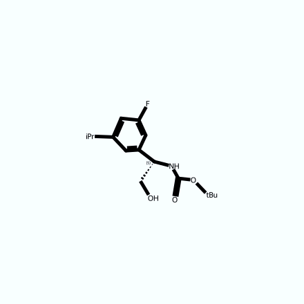 CC(C)c1cc(F)cc([C@@H](CO)NC(=O)OC(C)(C)C)c1